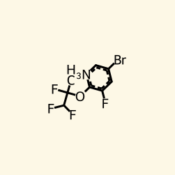 CC(F)(Oc1ncc(Br)cc1F)C(F)F